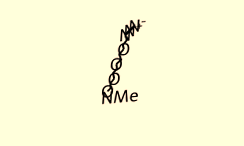 CNOCCOCCOCCOCCN=[N+]=[N-]